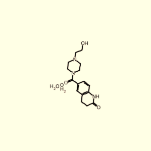 O.O.O=C1CCc2cc(C(=O)N3CCN(CCO)CC3)ccc2N1